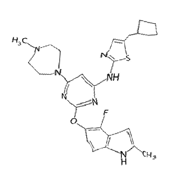 Cc1cc2c(F)c(Oc3nc(Nc4ncc(C5CCC5)s4)cc(N4CCN(C)CC4)n3)ccc2[nH]1